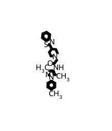 Cc1ccc(-n2nc(C)c(NC(=O)CN3CCC(c4nc5ccccc5s4)CC3)c2C)cc1